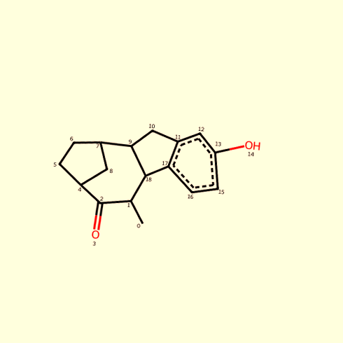 CC1C(=O)C2CCC(C2)C2Cc3cc(O)ccc3C12